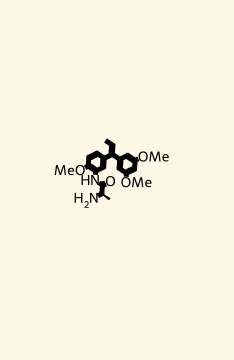 CC=C(c1cc(OC)cc(OC)c1)c1ccc(OC)c(NC(=O)[C@@H](C)N)c1